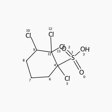 O=S(=O)(O)C1(Cl)CCCC(Cl)C1(Cl)Cl